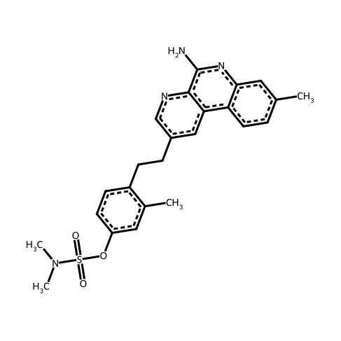 Cc1ccc2c(c1)nc(N)c1ncc(CCc3ccc(OS(=O)(=O)N(C)C)cc3C)cc12